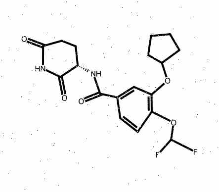 O=C1CC[C@H](NC(=O)c2ccc(OC(F)F)c(OC3CCCC3)c2)C(=O)N1